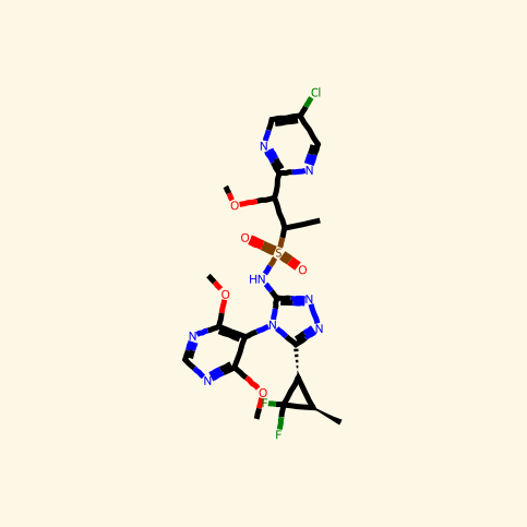 COc1ncnc(OC)c1-n1c(NS(=O)(=O)C(C)C(OC)c2ncc(Cl)cn2)nnc1[C@@H]1[C@@H](C)C1(F)F